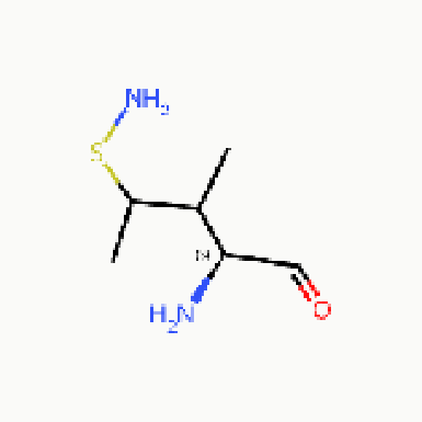 CC(SN)C(C)[C@H](N)C=O